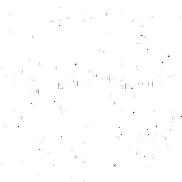 Cc1ccc(/N=N/c2c(S)cc3cc(S)cc(NC=O)c3c2O)c(S)c1